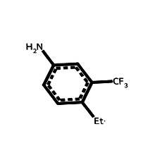 C[CH]c1ccc(N)cc1C(F)(F)F